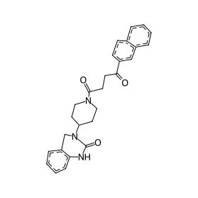 O=C(CCC(=O)N1CCC(N2Cc3ccccc3NC2=O)CC1)c1ccc2ccccc2c1